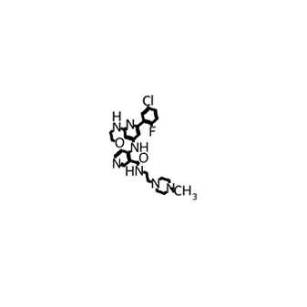 CN1CCN(CCNC(=O)c2cnccc2Nc2cc(-c3cc(Cl)ccc3F)nc3c2OCCN3)CC1